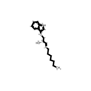 CCCCCCCN=C[C@H](O)COc1c[nH]c2ccccc12